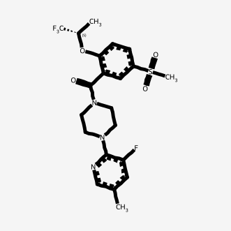 Cc1cnc(N2CCN(C(=O)c3cc(S(C)(=O)=O)ccc3O[C@@H](C)C(F)(F)F)CC2)c(F)c1